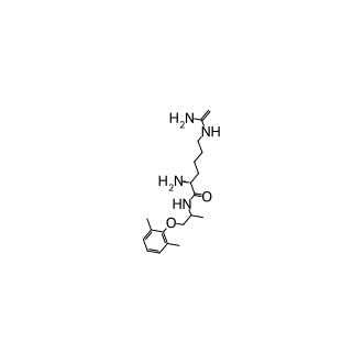 C=C(N)NCCCC[C@H](N)C(=O)NC(C)COc1c(C)cccc1C